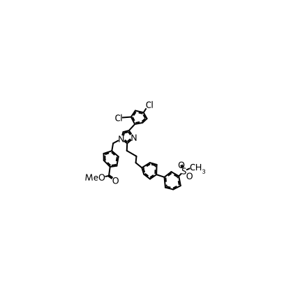 COC(=O)c1ccc(Cn2cc(-c3ccc(Cl)cc3Cl)nc2CCCc2ccc(-c3cccc(S(C)(=O)=O)c3)cc2)cc1